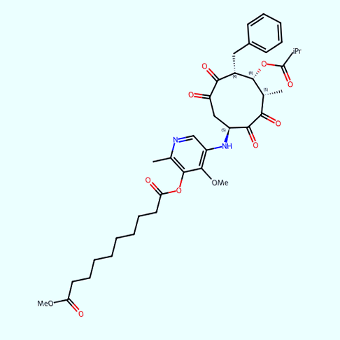 COC(=O)CCCCCCCCC(=O)Oc1c(C)ncc(N[C@H]2CC(=O)C(=O)[C@H](Cc3ccccc3)[C@H](OC(=O)C(C)C)[C@H](C)C(=O)C2=O)c1OC